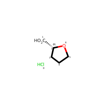 Cl.O=C(O)[C@H]1CCCO1